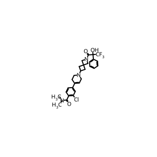 CN(C)C(=O)c1ccc(C2=CCN(C3CC4(C3)CN(C(=O)C(O)(c3ccccc3)C(F)(F)F)C4)CC2)cc1Cl